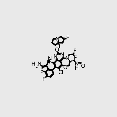 N#Cc1c(N)sc2c(F)ccc(-c3c(Cl)c4c5c(nc(OC[C@@]67CCCN6C[C@H](F)C7)nc5c3F)N(CC(F)F)[C@@H](CNC=O)CO4)c12